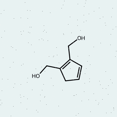 OCC1=C(CO)CC=C1